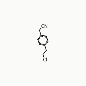 N#CCc1ccc(CCCl)cc1